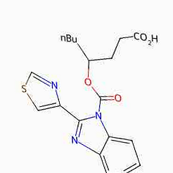 CCCCC(CCC(=O)O)OC(=O)n1c(-c2cscn2)nc2ccccc21